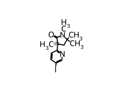 CN1C(=O)[C@](C)(c2ccc(I)cn2)CC1(C)C